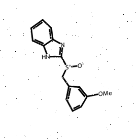 COc1cccc(C[S+]([O-])c2nc3ccccc3[nH]2)c1